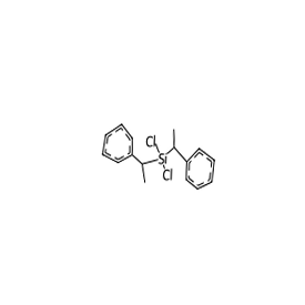 CC(c1ccccc1)[Si](Cl)(Cl)C(C)c1ccccc1